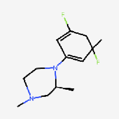 C[C@H]1CN(C)CCN1C1=CC(C)(F)CC(F)=C1